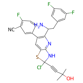 CC(C)(O)C#CC1(Cl)Nc2nc(C(N)Cc3cc(F)cc(F)c3)c(-c3ccc(F)c(C#N)c3)cc2S1